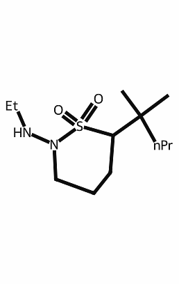 CCCC(C)(C)C1CCCN(NCC)S1(=O)=O